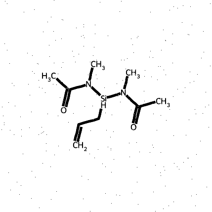 C=CC[SiH](N(C)C(C)=O)N(C)C(C)=O